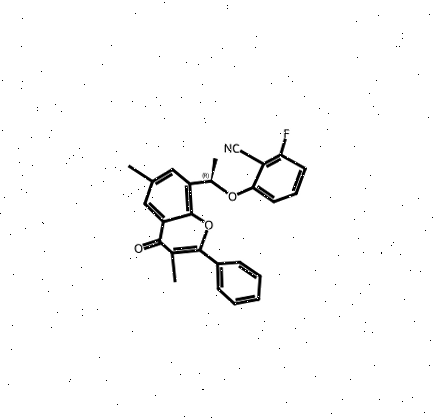 Cc1cc([C@@H](C)Oc2cccc(F)c2C#N)c2oc(-c3ccccc3)c(C)c(=O)c2c1